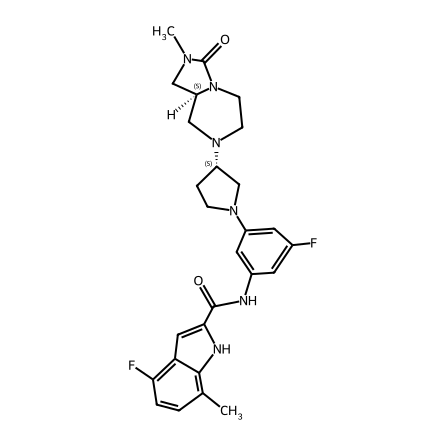 Cc1ccc(F)c2cc(C(=O)Nc3cc(F)cc(N4CC[C@H](N5CCN6C(=O)N(C)C[C@@H]6C5)C4)c3)[nH]c12